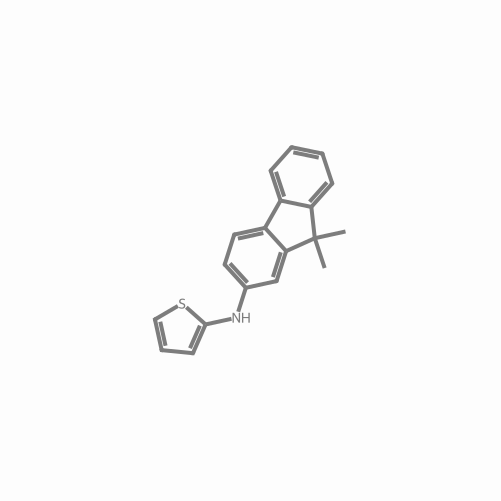 CC1(C)c2ccccc2-c2ccc(Nc3cccs3)cc21